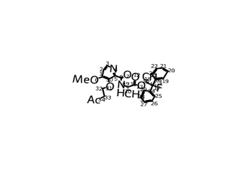 COc1ccnc(C(=O)N[C@@H](C)C(=O)O[C@@H](C)C(F)(c2ccccc2)c2ccccc2)c1OCCC(C)=O